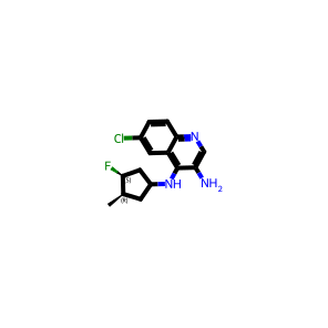 C[C@@H]1CC(Nc2c(N)cnc3ccc(Cl)cc23)C[C@@H]1F